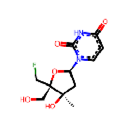 C[C@@]1(O)C[C@H](n2ccc(=O)[nH]c2=O)O[C@@]1(CO)CF